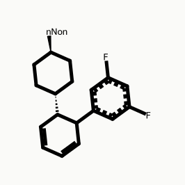 CCCCCCCCC[C@H]1CC[C@H](C2C=CC=CC2c2cc(F)cc(F)c2)CC1